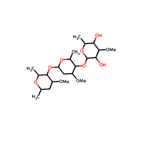 COC1CC(C)OC(C)C1OC1CC(OC)C(OC2OC(C)C(O)C(OC)C2O)C(C)O1